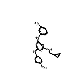 COc1ccc(Nc2nc(NCC3CC3)nc(Nc3cccc(N)c3)n2)cc1